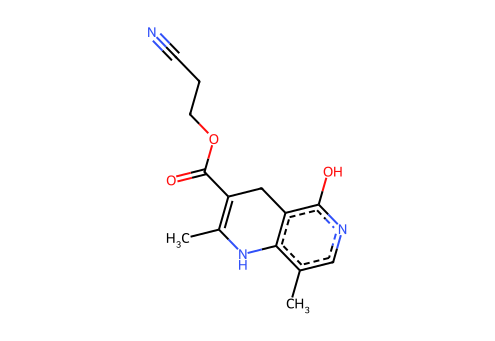 CC1=C(C(=O)OCCC#N)Cc2c(O)ncc(C)c2N1